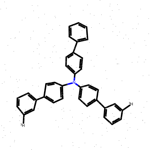 [3H]c1cccc(-c2ccc(N(c3ccc(-c4ccccc4)cc3)c3ccc(-c4cccc([3H])c4)cc3)cc2)c1